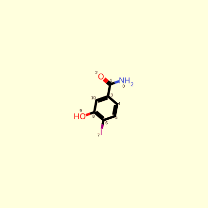 NC(=O)c1ccc(I)c(O)c1